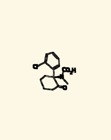 CN(C(=O)O)[C@]1(c2ccccc2Cl)CCCCC1=O